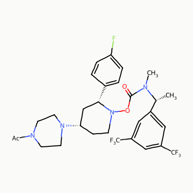 CC(=O)N1CCN([C@H]2CCN(OC(=O)N(C)[C@H](C)c3cc(C(F)(F)F)cc(C(F)(F)F)c3)[C@@H](c3ccc(F)cc3)C2)CC1